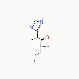 CCCC(C)(C)C(=O)C(C)c1cn(C)cn1